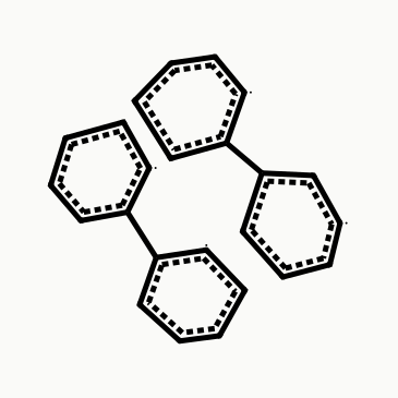 [c]1cccc(-c2[c]cccc2)c1.[c]1ccccc1-c1[c]cccc1